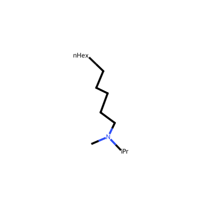 CCCCCCCCCCCN(C)C(C)C